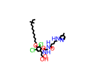 CCC(C)(C)CCCCCCCCCCOc1c(Cl)cc(C(CC(=O)O)NC(=O)CNC(=O)CCCCNc2cc(C)ccn2)cc1Cl